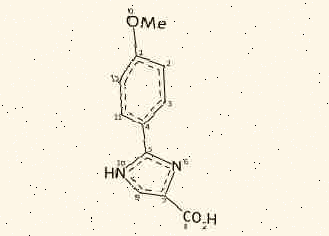 COc1ccc(-c2nc(C(=O)O)c[nH]2)cc1